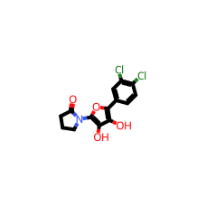 O=C1CCCN1c1oc(-c2ccc(Cl)c(Cl)c2)c(O)c1O